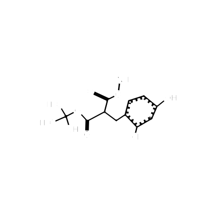 CC(C)(C)OC(=O)C(Cc1ccc(O)cc1Cl)C(=O)ON